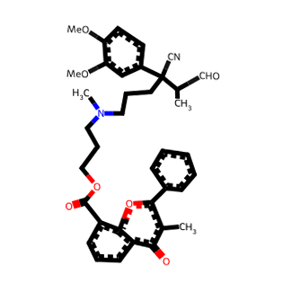 COc1ccc(C(C#N)(CCCN(C)CCCOC(=O)c2cccc3c(=O)c(C)c(-c4ccccc4)oc23)C(C)C=O)cc1OC